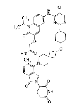 CNC(=O)COc1cc2cc(Nc3nc(N4CCC(OC5CC6(CCN(c7cccc8c7CN(C7CCC(=O)NC7=O)C8=O)CC6)C5)CC4)ncc3Cl)ccc2n(C(C)C)c1=O